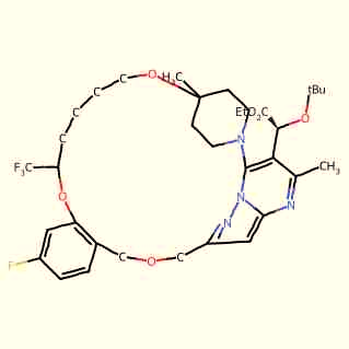 CCOC(=O)[C@@H](OC(C)(C)C)c1c(C)nc2cc3nn2c1N1CCC(C)(CC1)OCCCCC(C(F)(F)F)Oc1cc(F)ccc1COC3